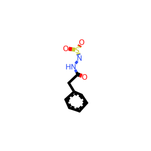 O=C(Cc1ccccc1)NN=S(=O)=O